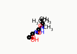 C[C@H](NC(=O)c1ccc2c(c1)OCCN2Cc1ccc(-c2ccccc2C(=O)O)cc1)c1ccc(C(C)(C)C)cc1